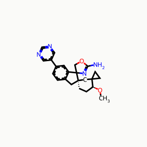 CO[C@H]1CC[C@@]2(Cc3ccc(-c4cncnc4)cc3C23COC(N)=N3)CC12CC2